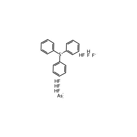 F.F.F.F.F.[As].[F-].c1ccc([S+](c2ccccc2)c2ccccc2)cc1